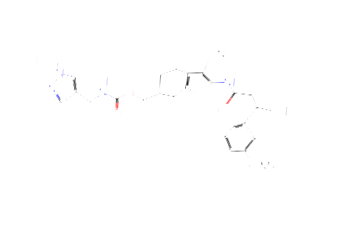 COc1cccc(C(C)CC(=O)Nc2sc3c(c2C#N)CCC(COC(=O)NCc2cnn(C)c2)C3)c1